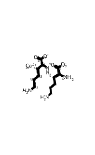 NCCCCC(N)C(=O)[O-].NCCCCC(N)C(=O)[O-].[Ca+2]